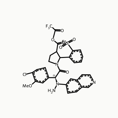 CCS(=O)(=O)c1ccccc1C1C(C(=O)OC(=O)C(F)(F)F)CCN1C(=O)[C@H](c1ccc(Cl)c(OC)c1)N(N)c1ccc2cnccc2c1